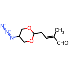 C/C(C=O)=C\CC1OCC(N=[N+]=[N-])CO1